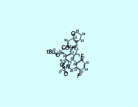 Cc1c(-c2c(C)c3c(c(C)c2[C@H](OC(C)(C)C)C(=O)O)N(S(C)(=O)=O)Cc2c(F)ccc(F)c2-3)ccc2c1CCCO2